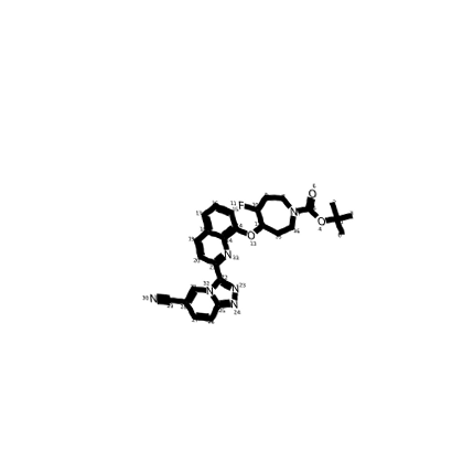 CC(C)(C)OC(=O)N1CCC(F)C(Oc2cccc3ccc(-c4nnc5ccc(C#N)cn45)nc23)CC1